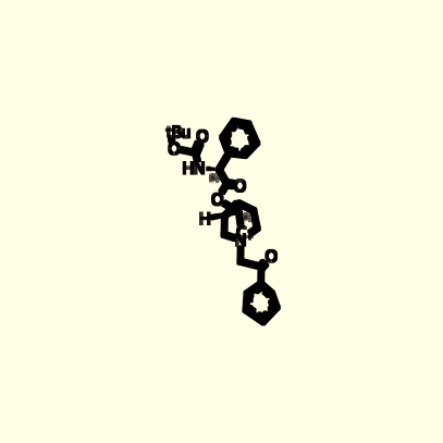 CC(C)(C)OC(=O)N[C@@H](C(=O)O[C@H]1C[N+]2(CC(=O)c3ccccc3)CCC1CC2)c1ccccc1